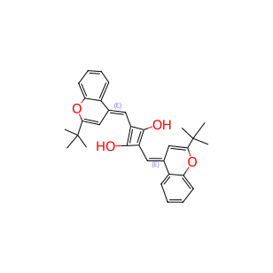 CC(C)(C)C1=C/C(=C\C2=C(O)C(/C=C3\C=C(C(C)(C)C)Oc4ccccc43)=C2O)c2ccccc2O1